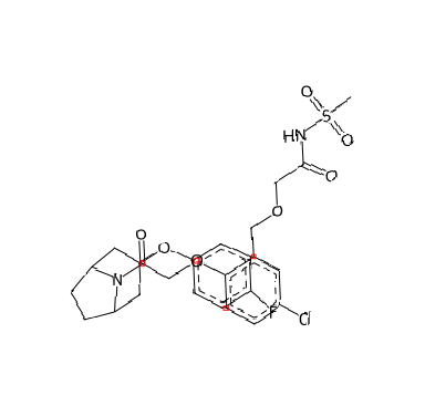 CS(=O)(=O)NC(=O)COCc1cc(Cl)ccc1OCC(=O)N1C2CCC1CC(Oc1ccc(F)cc1)C2